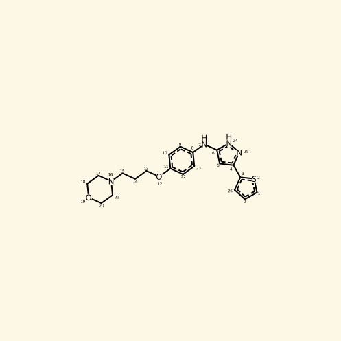 c1csc(-c2cc(Nc3ccc(OCCCN4CCOCC4)cc3)[nH]n2)c1